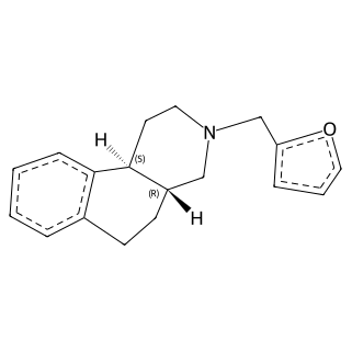 c1coc(CN2CC[C@@H]3c4ccccc4CC[C@H]3C2)c1